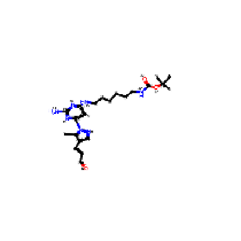 Cc1c(C=CC=O)cnn1-c1cc(NCCCCCCNC(=O)OC(C)(C)C)nc(N)n1